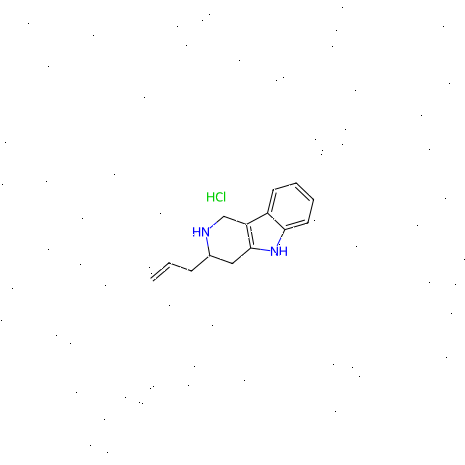 C=CCC1Cc2[nH]c3ccccc3c2CN1.Cl